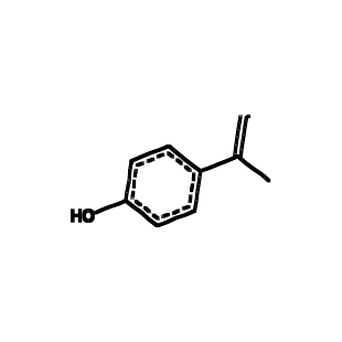 [CH]=C(C)c1ccc(O)cc1